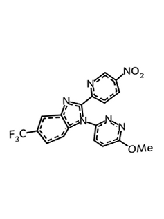 COc1ccc(-n2c(-c3ccc([N+](=O)[O-])cn3)nc3cc(C(F)(F)F)ccc32)nn1